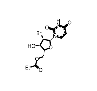 CCC(=O)OC[C@H]1O[C@@H](n2ccc(=O)[nH]c2=O)[C@H](Br)[C@@H]1O